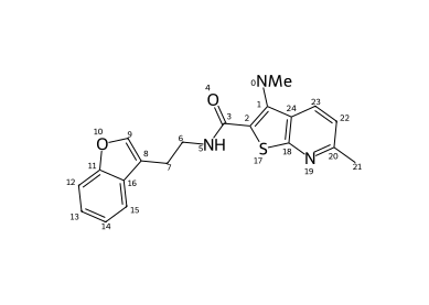 CNc1c(C(=O)NCCc2coc3ccccc23)sc2nc(C)ccc12